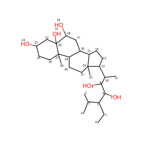 CCC(C(C)C)C(O)C(O)C(C)C1CCC2C3CC(O)C4(O)CC(O)CCC4(C)C3CCC12C